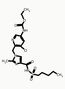 CCCCCS(=O)(=O)NC(=O)c1cn(Cc2ncc(NC(=O)OCC)cc2Cl)c(C)n1